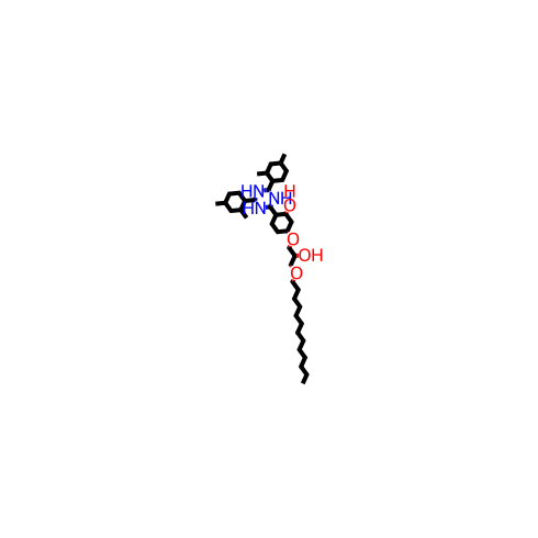 CCCCCCCCCCCCCOCC(O)COC1CCC(C2NC(C3CCC(C)CC3C)NC(C3CCC(C)CC3C)N2)C(O)C1